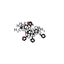 CCC1O[C@@H](OC2[C@@H]3OC(c4ccccc4)OCC3O[C@@H](O[C@@H]3C(COCc4ccccc4)O[C@@H](OCc4ccccc4)[C@@H](C)C3C)[C@@H]2OCc2ccccc2)C(OC(C)=O)[C@H](C)[C@H]1C